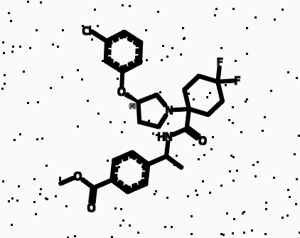 COC(=O)c1ccc(C(C)NC(=O)C2(N3CC[C@@H](Oc4cccc(Cl)c4)C3)CCC(F)(F)CC2)cc1